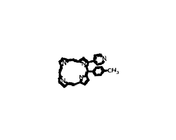 Cc1ccc(C2=C3C=CC(=N3)C=C3C=CC(=N3)C=C3C=CC(=N3)C=C3C=C(c4ccncc4)C2=N3)cc1